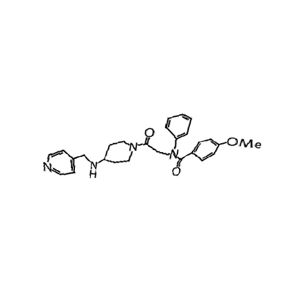 COc1ccc(C(=O)N(CC(=O)N2CCC(NCc3ccncc3)CC2)c2ccccc2)cc1